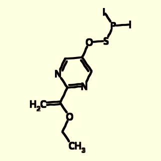 C=C(OCC)c1ncc(OSP(I)I)cn1